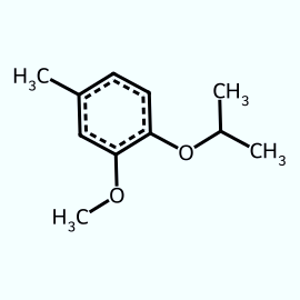 COc1cc(C)ccc1OC(C)C